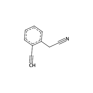 C#Cc1ccccc1CC#N